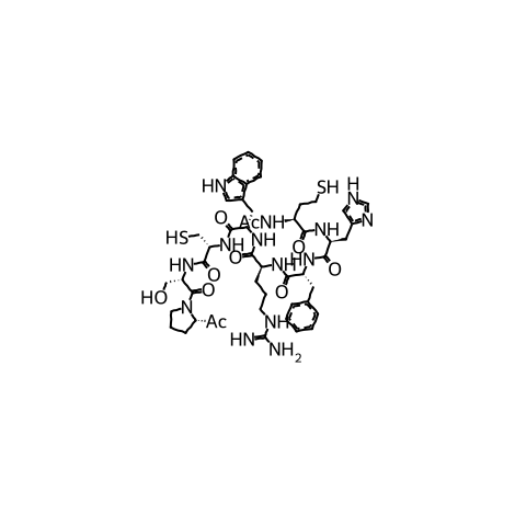 CC(=O)N[C@@H](CCS)C(=O)N[C@@H](Cc1c[nH]cn1)C(=O)N[C@H](Cc1ccccc1)C(=O)N[C@@H](CCCNC(=N)N)C(=O)N[C@@H](Cc1c[nH]c2ccccc12)C(=O)N[C@@H](CS)C(=O)N[C@@H](CO)C(=O)N1CCC[C@H]1C(C)=O